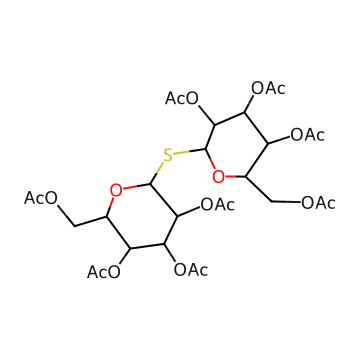 CC(=O)OCC1OC(SC2OC(COC(C)=O)C(OC(C)=O)C(OC(C)=O)C2OC(C)=O)C(OC(C)=O)C(OC(C)=O)C1OC(C)=O